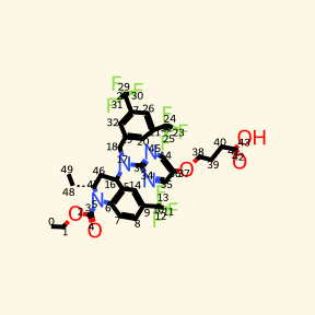 CCOC(=O)N1c2ccc(C(F)(F)F)cc2C(N(Cc2cc(C(F)(F)F)cc(C(F)(F)F)c2)c2ncc(OCCCC(=O)O)cn2)C[C@H]1CC